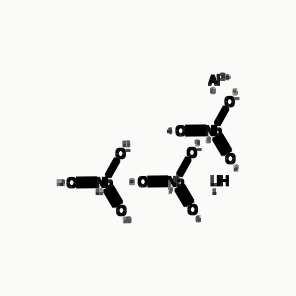 [Al+3].[LiH].[O]=[Nb](=[O])[O-].[O]=[Nb](=[O])[O-].[O]=[Nb](=[O])[O-]